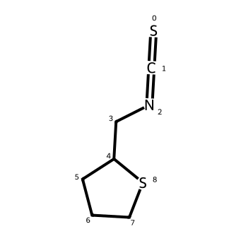 S=C=NCC1CCCS1